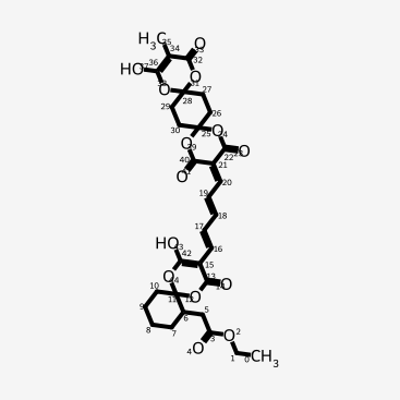 CCOC(=O)CC1CCCCC12OC(=O)C(/C=C/C=C/C=C1C(=O)OC3(CCC4(CC3)OC(=O)C(C)=C(O)O4)OC1=O)=C(O)O2